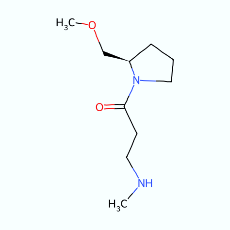 CNCCC(=O)N1CCC[C@@H]1COC